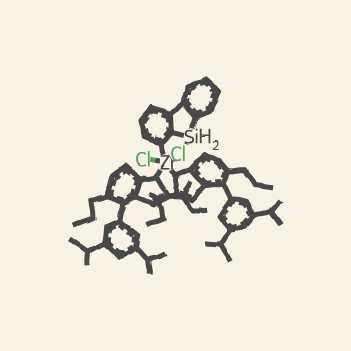 CCCc1ccc2c(c1-c1cc(C(C)C)cc(C(C)C)c1)C=C(C(C)CC)[CH]2[Zr]([Cl])([Cl])([c]1cccc2c1[SiH2]c1ccccc1-2)[CH]1C(C(C)CC)=Cc2c1ccc(CCC)c2-c1cc(C(C)C)cc(C(C)C)c1